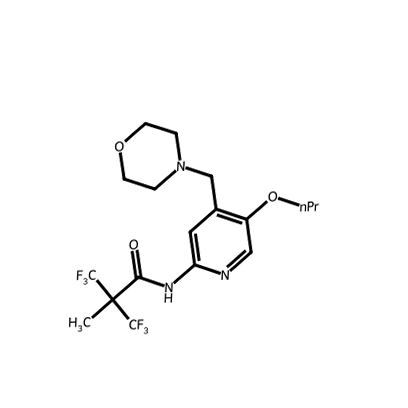 CCCOc1cnc(NC(=O)C(C)(C(F)(F)F)C(F)(F)F)cc1CN1CCOCC1